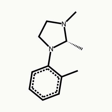 Cc1ccccc1N1CCN(C)[C@@H]1C